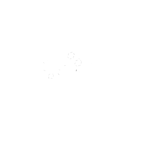 COc1cc(N)cc(-c2cccc3c2O[C@H](CNC(=O)c2ccc(CN4CCN(C)CC4)o2)CO3)n1